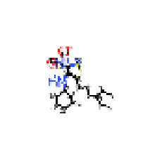 CCC(CC)CCCc1snc([N+](=O)[O-])c1NC1CCCCC1